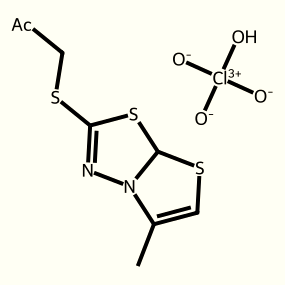 CC(=O)CSC1=NN2C(C)=CSC2S1.[O-][Cl+3]([O-])([O-])O